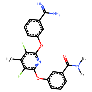 CCN(CC)C(=O)c1cccc(Oc2nc(Oc3cccc(C(=N)N)c3)c(F)c(C)c2F)c1